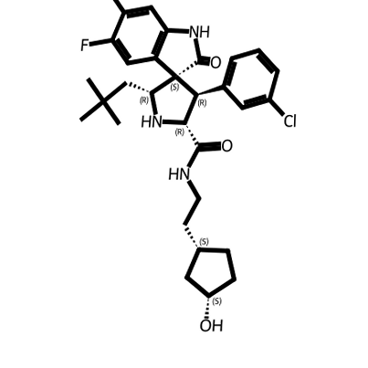 CC(C)(C)C[C@H]1N[C@@H](C(=O)NCC[C@@H]2CC[C@H](O)C2)[C@H](c2cccc(Cl)c2)[C@@]12C(=O)Nc1cc(Cl)c(F)cc12